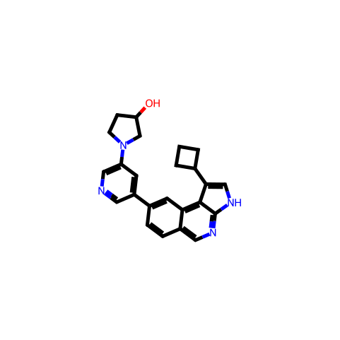 OC1CCN(c2cncc(-c3ccc4cnc5[nH]cc(C6CCC6)c5c4c3)c2)C1